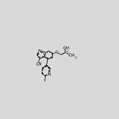 C[C@H](O)COc1cc(-c2ccc(F)nc2)c2c(C#N)cnn2c1